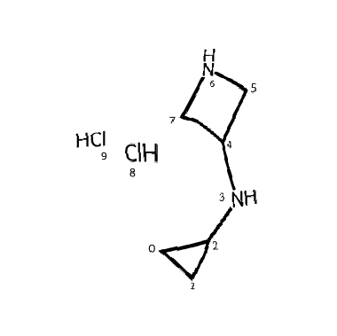 C1CC1NC1CNC1.Cl.Cl